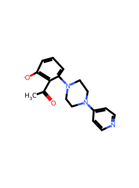 CC(=O)c1c([O])cccc1N1CCN(c2ccncc2)CC1